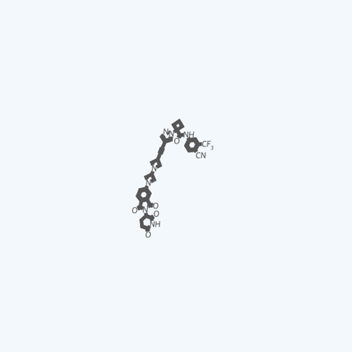 N#Cc1ccc(NC(=O)C2(n3cc(C#CC4CN(C5CN(c6ccc7c(c6)C(=O)N(C6CCC(=O)NC6=O)C7=O)C5)C4)cn3)CCC2)cc1C(F)(F)F